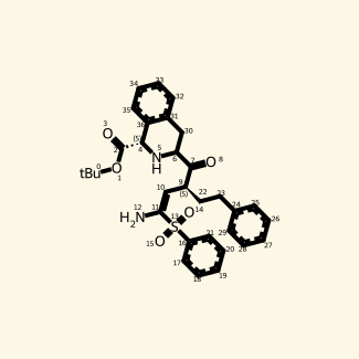 CC(C)(C)OC(=O)[C@H]1NC(C(=O)[C@H](C=C(N)S(=O)(=O)c2ccccc2)CCc2ccccc2)Cc2ccccc21